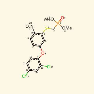 COP(=O)(CSc1cc(Oc2ccc(Cl)cc2Cl)ccc1[N+](=O)[O-])OC